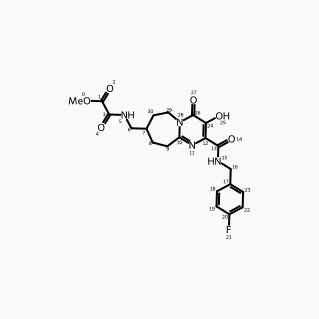 COC(=O)C(=O)NCC1CCc2nc(C(=O)NCc3ccc(F)cc3)c(O)c(=O)n2CC1